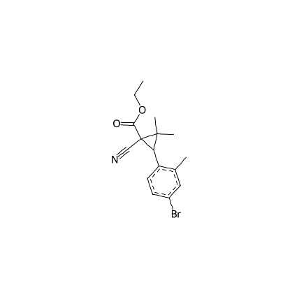 CCOC(=O)C1(C#N)C(c2ccc(Br)cc2C)C1(C)C